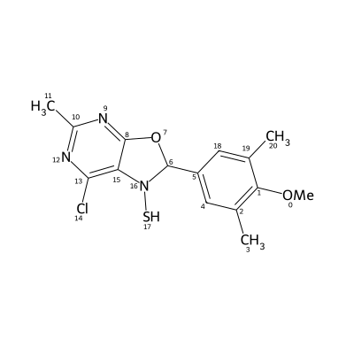 COc1c(C)cc(C2Oc3nc(C)nc(Cl)c3N2S)cc1C